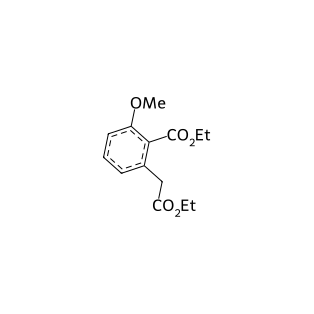 CCOC(=O)Cc1cccc(OC)c1C(=O)OCC